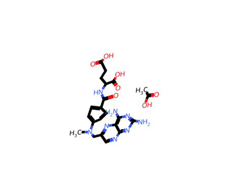 CC(=O)O.CN(Cc1cnc2nc(N)nc(N)c2n1)c1ccc(C(=O)NC(CCC(=O)O)C(=O)O)cc1